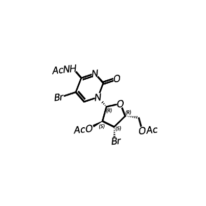 CC(=O)Nc1nc(=O)n([C@@H]2O[C@H](COC(C)=O)[C@H](Br)[C@H]2OC(C)=O)cc1Br